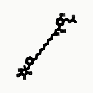 CC(=O)OCc1cc([C@@H](O)CNCCCCCCCCCCc2cccc(C[C@@]3(C)NC(=O)NC3=O)c2)ccc1O